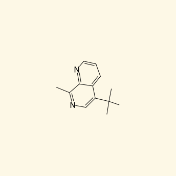 Cc1ncc(C(C)(C)C)c2cccnc12